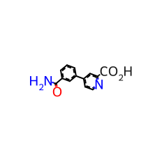 NC(=O)c1cccc(-c2ccnc(C(=O)O)c2)c1